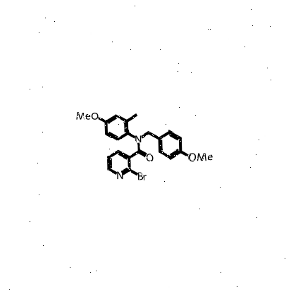 COc1ccc(CN(C(=O)c2cccnc2Br)c2ccc(OC)cc2C)cc1